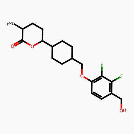 CCCC1CCC(C2CCC(COc3ccc(CO)c(F)c3F)CC2)OC1=O